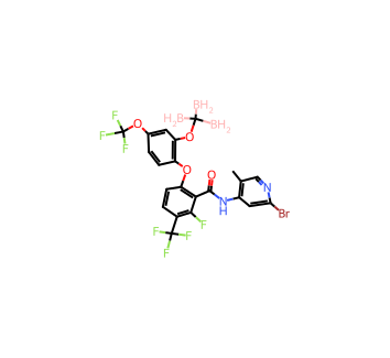 BC(B)(B)Oc1cc(OC(F)(F)F)ccc1Oc1ccc(C(F)(F)F)c(F)c1C(=O)Nc1cc(Br)ncc1C